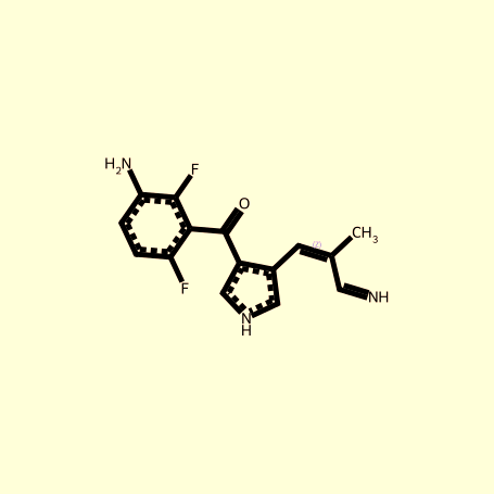 C/C(C=N)=C/c1c[nH]cc1C(=O)c1c(F)ccc(N)c1F